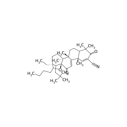 CCCCC1O[C@]23C(=O)C=C4[C@@]5(C)C=C(C#N)C(=O)C(C)(C)C5CC[C@@]4(C)[C@]2(C)CC[C@@]1(CC)C3CC(C)(C)C